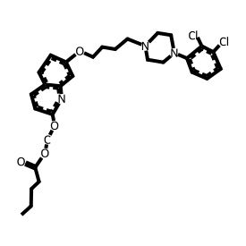 CCCCC(=O)OCOc1ccc2ccc(OCCCCN3CCN(c4cccc(Cl)c4Cl)CC3)cc2n1